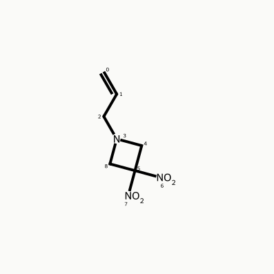 C=CCN1CC([N+](=O)[O-])([N+](=O)[O-])C1